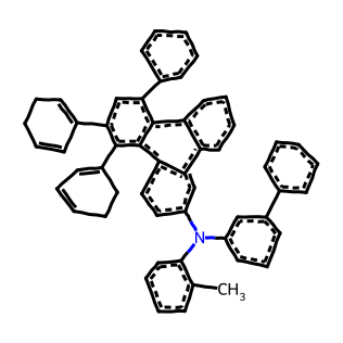 Cc1ccccc1N(c1cccc(-c2ccccc2)c1)c1ccc2c(c1)c1ccccc1c1c(-c3ccccc3)cc(C3=CCCC=C3)c(C3=CC=CCC3)c21